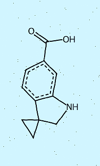 O=C(O)c1ccc2c(c1)NCC21CC1